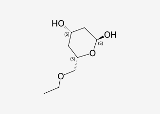 CCOC[C@@H]1C[C@H](O)C[C@@H](O)O1